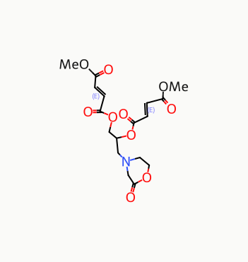 COC(=O)/C=C/C(=O)OCC(CN1CCOC(=O)C1)OC(=O)/C=C/C(=O)OC